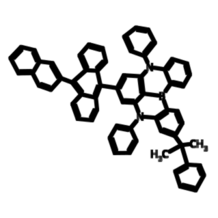 CC(C)(c1ccccc1)c1ccc2c(c1)N(c1ccccc1)c1cc(-c3c4ccccc4c(-c4ccc5ccccc5c4)c4ccccc34)cc3c1B2c1ccccc1N3c1ccccc1